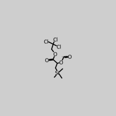 C[Si](C)(C)CC(O[C]=O)C(=O)OCC(Cl)(Cl)Cl